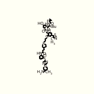 Cc1ncsc1-c1ccc(CNC(=O)[C@@H]2C[C@@H](O)CN2C(=O)[C@@H](NC(=O)C2(F)CC2)C(C)(C)C)c(OCCCCN2CCC(CCC(=O)Nc3cccc(Sc4cnc(N5CCC(C)(CN)CC5)cn4)c3Cl)CC2)c1